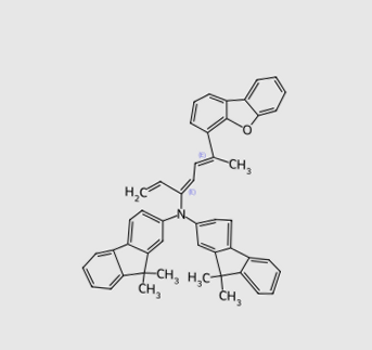 C=C/C(=C\C=C(/C)c1cccc2c1oc1ccccc12)N(c1ccc2c(c1)C(C)(C)c1ccccc1-2)c1ccc2c(c1)C(C)(C)c1ccccc1-2